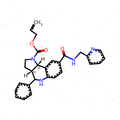 C=CCOC(=O)N1CC[C@H]2C(c3ccccc3)Nc3ccc(C(=O)NCc4ccccn4)cc3[C@H]21